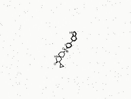 O=C1CNC2(CCC(S(=O)(=O)c3ccc(-c4ccc5cc[nH]c5c4)cn3)CC2)CC1C1CC1